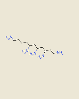 NCCCCC(N)CC(N)CC(N)CCN